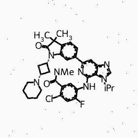 CNC(=O)c1cc(Nc2nc(-c3ccc4c(c3)N([C@H]3C[C@@H](N5CCCCC5)C3)C(=O)C4(C)C)cc3ncn(C(C)C)c23)c(F)cc1Cl